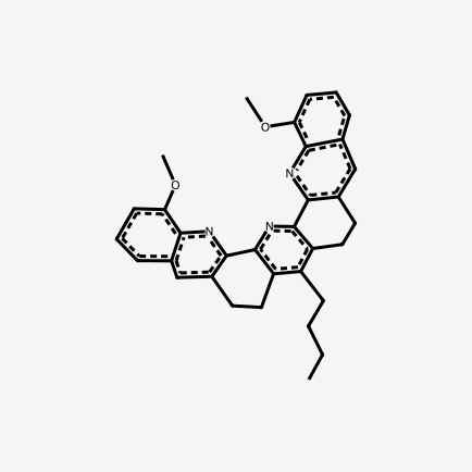 CCCCc1c2c(nc3c1CCc1cc4cccc(OC)c4nc1-3)-c1nc3c(OC)cccc3cc1CC2